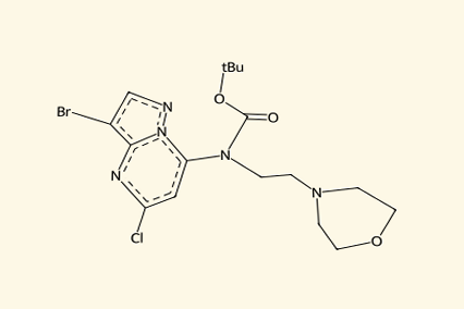 CC(C)(C)OC(=O)N(CCN1CCOCC1)c1cc(Cl)nc2c(Br)cnn12